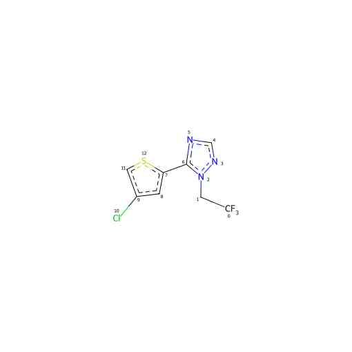 FC(F)(F)Cn1ncnc1-c1cc(Cl)cs1